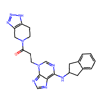 O=C(CCn1cnc(NC2Cc3ccccc3C2)c2ncnc1-2)N1CCc2[nH]nnc2C1